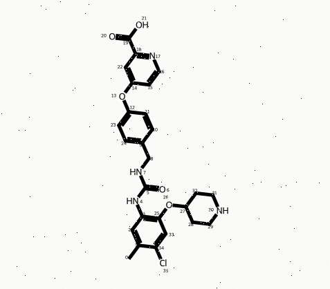 Cc1cc(NC(=O)NCc2ccc(Oc3ccnc(C(=O)O)c3)cc2)c(OC2CCNCC2)cc1Cl